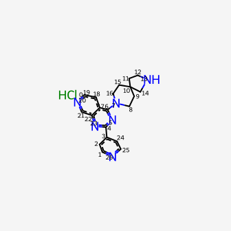 Cl.c1cc(-c2nc(N3CCC4(CCNC4)CC3)c3ccncc3n2)ccn1